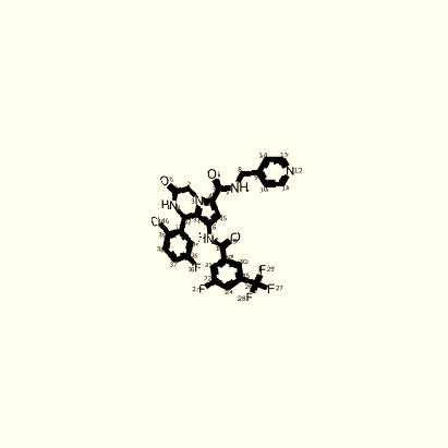 O=C1Cn2c(C(=O)NCc3ccncc3)cc(NC(=O)c3cc(F)cc(C(F)(F)F)c3)c2C(c2cc(F)ccc2Cl)N1